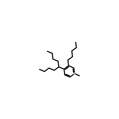 CCCCCc1c[n+](C)ccc1C(CCCC)CCCC